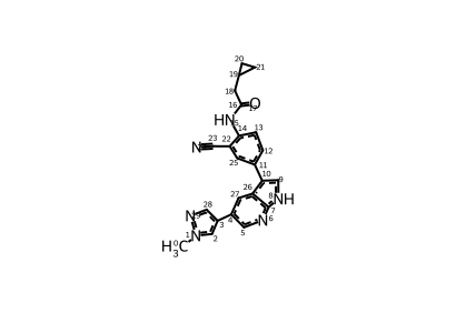 Cn1cc(-c2cnc3[nH]cc(-c4ccc(NC(=O)CC5CC5)c(C#N)c4)c3c2)cn1